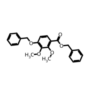 COc1c(OCc2ccccc2)ccc(C(=O)OCc2ccccc2)c1OC